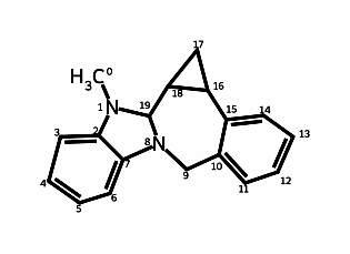 CN1c2ccccc2N2Cc3ccccc3C3CC3C12